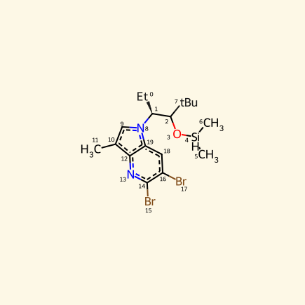 CC[C@@H](C(O[SiH](C)C)C(C)(C)C)n1cc(C)c2nc(Br)c(Br)cc21